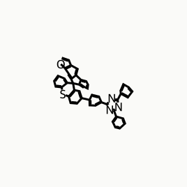 c1ccc(-c2nc(-c3ccccc3)nc(-c3ccc(-c4ccc5c(c4)C4(c6ccccc6S5)c5ccccc5-c5cc6ccoc6cc54)cc3)n2)cc1